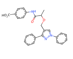 CC(OCc1cn(-c2ccccc2)nc1-c1ccccc1)C(=O)Nc1ccc(C(=O)O)cc1